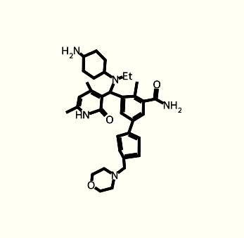 CCN(C1CCC(N)CC1)C(c1cc(-c2ccc(CN3CCOCC3)cc2)cc(C(N)=O)c1C)c1c(C)cc(C)[nH]c1=O